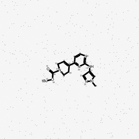 Cn1cc(Nc2nccc(C3=CCN(C(=O)OC(C)(C)C)CC3)n2)cn1